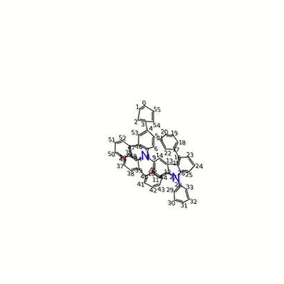 c1ccc(-c2ccc(N(c3ccc4c(c3)c3c(-c5ccccc5)cccc3n4-c3ccccc3)c3ccccc3-c3ccccc3)c(-c3ccccc3)c2)cc1